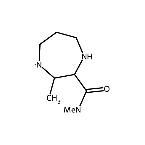 CNC(=O)C1NCCC[N]C1C